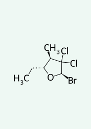 CC[C@H]1O[C@H](Br)C(Cl)(Cl)[C@@H]1C